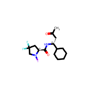 CC(=O)C[C@@H](NC(=O)[C@@H]1CC(F)(F)CN1I)C1CCCCC1